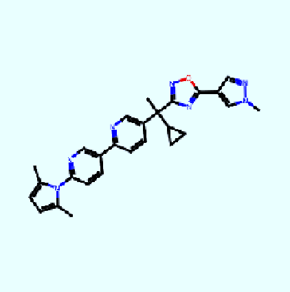 Cc1ccc(C)n1-c1ccc(-c2ccc(C(C)(c3noc(-c4cnn(C)c4)n3)C3CC3)cn2)cn1